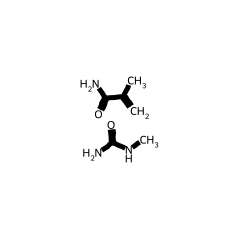 C=C(C)C(N)=O.CNC(N)=O